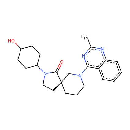 O=C1N(C2CCC(O)CC2)CC[C@@]12CCCN(c1nc(C(F)(F)F)nc3ccccc13)C2